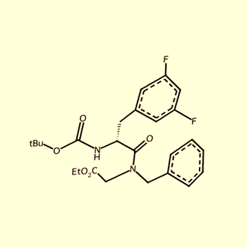 CCOC(=O)CN(Cc1ccccc1)C(=O)[C@@H](Cc1cc(F)cc(F)c1)NC(=O)OC(C)(C)C